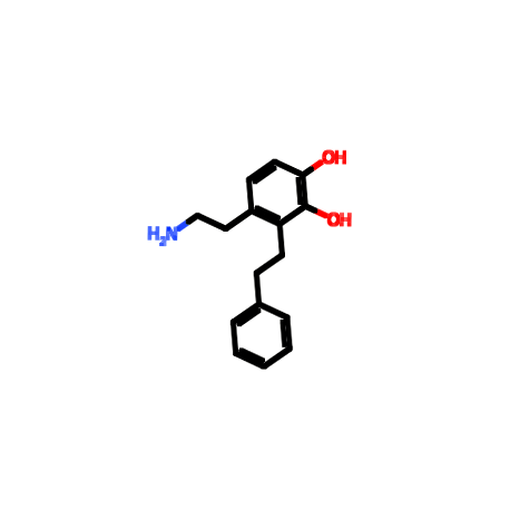 NCCc1ccc(O)c(O)c1CCc1ccccc1